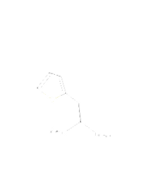 CCCCCCC(CCCCC)Cc1cccs1